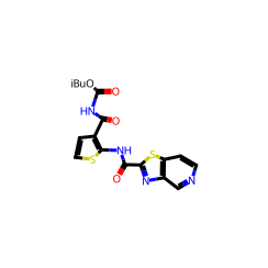 CC(C)COC(=O)NC(=O)c1ccsc1NC(=O)c1nc2cnccc2s1